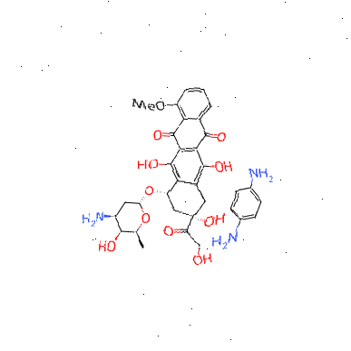 COc1cccc2c1C(=O)c1c(O)c3c(c(O)c1C2=O)C[C@@](O)(C(=O)CO)C[C@@H]3O[C@H]1C[C@H](N)[C@H](O)[C@H](C)O1.Nc1ccc(N)cc1